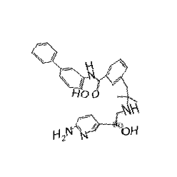 CC(C)(Cc1cccc(C(=O)Nc2cc(-c3ccccc3)ccc2O)c1)NC[C@H](O)c1ccc(N)nc1